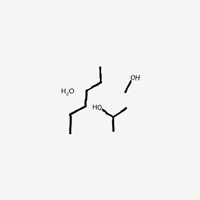 CC(C)O.CCCCCC.CO.O